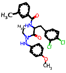 CCN(Nc1ccc(OC)cc1)C(=O)C(Cc1ccc(Cl)c(Cl)c1)NC(=O)c1cccc(C)c1